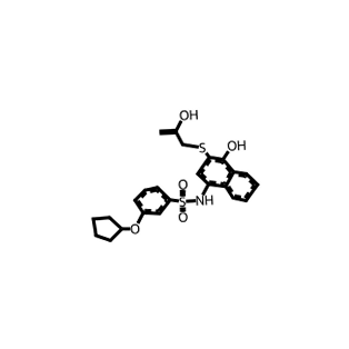 C=C(O)CSc1cc(NS(=O)(=O)c2cccc(OC3CCCC3)c2)c2ccccc2c1O